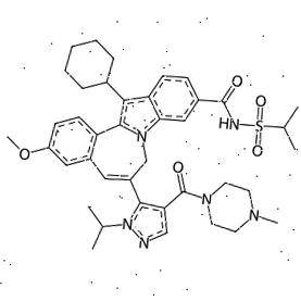 COc1ccc2c(c1)C=C(c1c(C(=O)N3CCN(C)CC3)cnn1C(C)C)Cn1c-2c(C2CCCCC2)c2ccc(C(=O)NS(=O)(=O)C(C)C)cc21